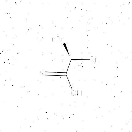 CCC[C@@H](Br)C(O)=S